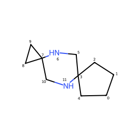 C1CCC2(C1)CNC1(CC1)CN2